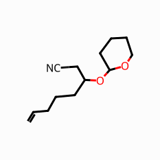 C=CCCCC(CC#N)OC1CCCCO1